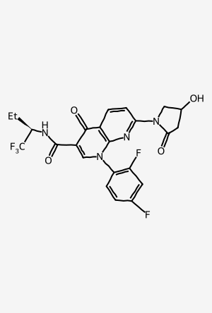 CC[C@@H](NC(=O)c1cn(-c2ccc(F)cc2F)c2nc(N3CC(O)CC3=O)ccc2c1=O)C(F)(F)F